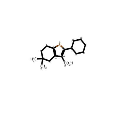 CC1(C)CCc2sc(C3CCCCC3)c(C(=O)O)c2C1